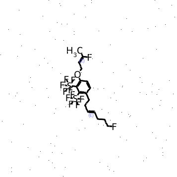 C/C(F)=C/COc1ccc(CC/C=C/CCCF)c(S(F)(F)(F)(F)F)c1S(F)(F)(F)(F)F